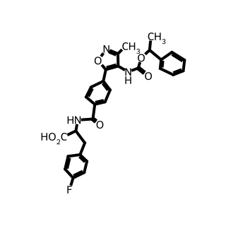 Cc1noc(-c2ccc(C(=O)NC(Cc3ccc(F)cc3)C(=O)O)cc2)c1NC(=O)OC(C)c1ccccc1